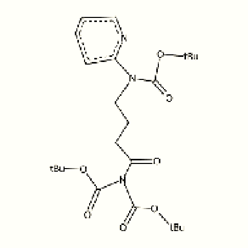 CC(C)(C)OC(=O)N(C(=O)CCCN(C(=O)OC(C)(C)C)c1ccccn1)C(=O)OC(C)(C)C